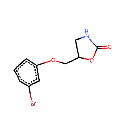 O=C1NCC(COc2cccc(Br)c2)O1